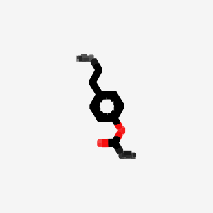 CCCCCCCCCCc1ccc(OC(=O)OC)cc1